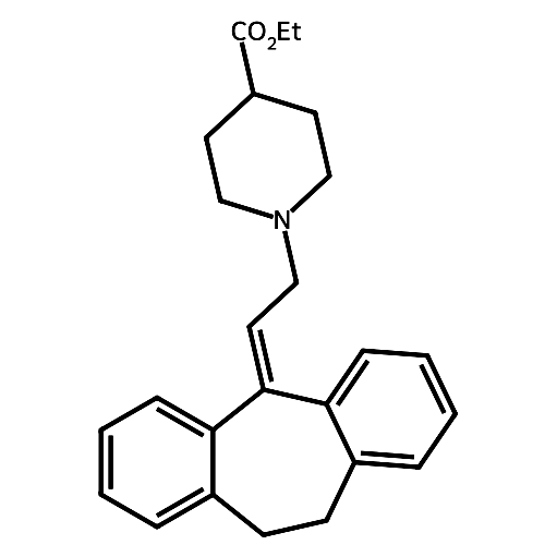 CCOC(=O)C1CCN(CC=C2c3ccccc3CCc3ccccc32)CC1